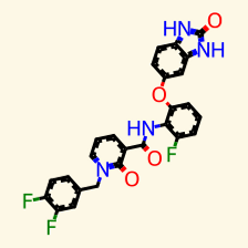 O=C(Nc1c(F)cccc1Oc1ccc2[nH]c(=O)[nH]c2c1)c1cccn(Cc2ccc(F)c(F)c2)c1=O